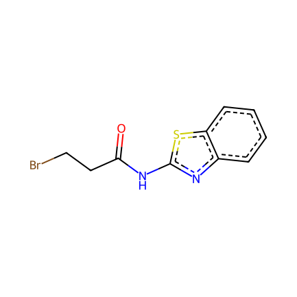 O=C(CCBr)Nc1nc2ccccc2s1